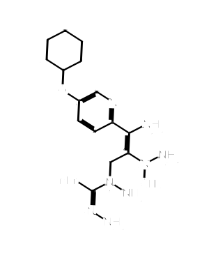 CCC/C(=N/N)N(N)C/C(=C(/N)c1ccc(OC2CCCCC2)cn1)N(C)N